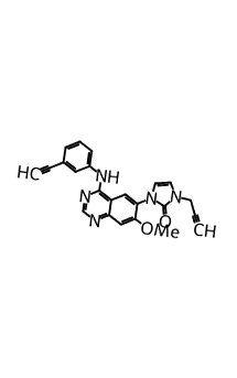 C#CCn1ccn(-c2cc3c(Nc4cccc(C#C)c4)ncnc3cc2OC)c1=O